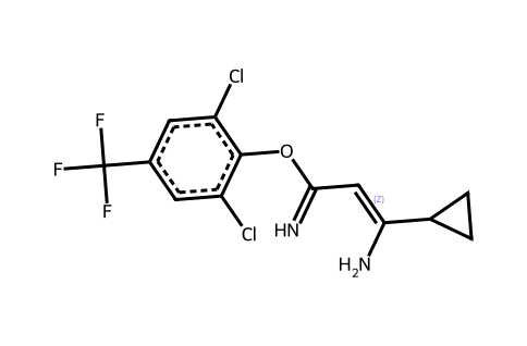 N=C(/C=C(\N)C1CC1)Oc1c(Cl)cc(C(F)(F)F)cc1Cl